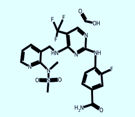 CN(c1ncccc1CNc1nc(Nc2ccc(C(N)=O)cc2F)ncc1C(F)(F)F)S(C)(=O)=O.O=CO